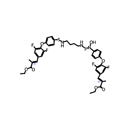 CCOC(=O)/C(C)=C/c1cc(F)c(Oc2ccc(SNCCCCNSN(O)c3ccc(Oc4c(F)cc(/C=C(\C)C(=O)OCC)cc4F)cc3)cc2)c(F)c1